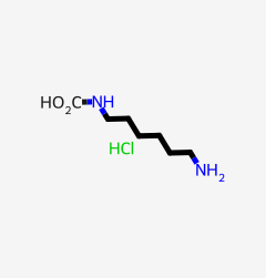 Cl.NCCCCCCNC(=O)O